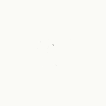 CCc1ccc2c(c1)CC(CC)CN2S(=O)(=O)C(O)c1ccccc1OCC1CCOCC1